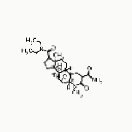 CCN(CC)C(=O)C1CC[C@H]2[C@@H]3CC[C@H]4N(C)C(=O)C(C(N)=O)C[C@]4(C)[C@H]3CC[C@]12C